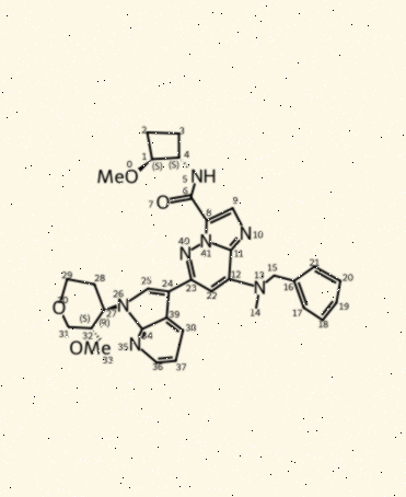 CO[C@H]1CC[C@@H]1NC(=O)c1cnc2c(N(C)Cc3ccccc3)cc(-c3cn([C@@H]4CCOC[C@H]4OC)c4ncccc34)nn12